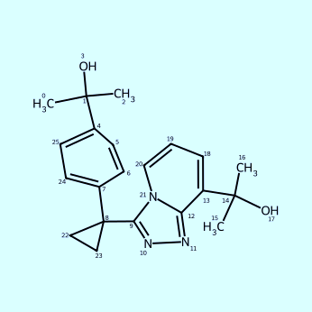 CC(C)(O)c1ccc(C2(c3nnc4c(C(C)(C)O)cccn34)CC2)cc1